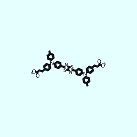 COC(=O)CCc1ccc(N(c2ccc(C)cc2)c2ccc(C3=NC4SC(c5ccc(N(c6ccc(C)cc6)c6ccc(CCC(=O)OC)cc6)cc5)=NC4S3)cc2)cc1